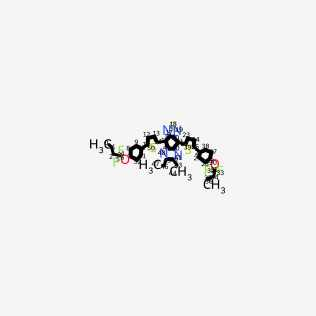 CCCC(F)(F)Oc1ccc(-c2ccc(-c3c4nsnc4c(-c4ccc(-c5ccc(OC(F)(F)CCC)cc5)s4)c4nc(CC)c(CC)nc34)s2)cc1